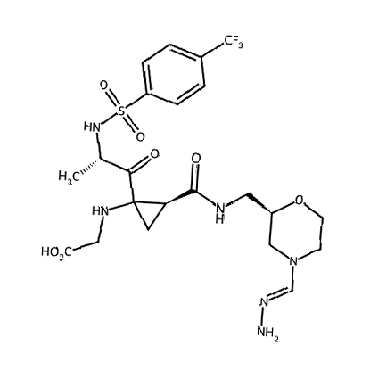 C[C@H](NS(=O)(=O)c1ccc(C(F)(F)F)cc1)C(=O)C1(NCC(=O)O)C[C@@H]1C(=O)NC[C@@H]1CN(C=NN)CCO1